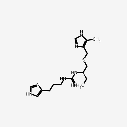 CC[C@H](CSCc1nc[nH]c1C)NC(=N)NCCCc1c[nH]cn1